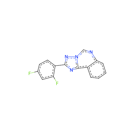 Fc1ccc(-c2nc3c4ccccc4ncn3n2)c(F)c1